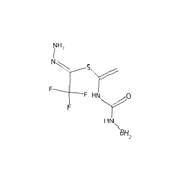 BNC(=O)NC(=C)S/C(=N\N)C(F)(F)F